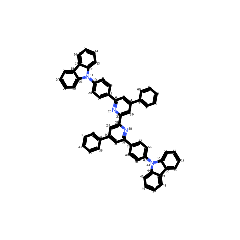 c1ccc(-c2cc(-c3ccc(-n4c5ccccc5c5ccccc54)cc3)nc(-c3cc(-c4ccccc4)cc(-c4ccc(-n5c6ccccc6c6ccccc65)cc4)n3)c2)cc1